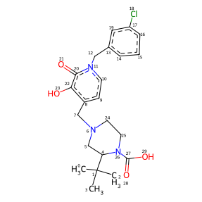 CC(C)(C)C1CN(Cc2ccn(Cc3cccc(Cl)c3)c(=O)c2O)CCN1C(=O)O